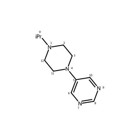 CC(C)N1CCN(c2cncnc2)CC1